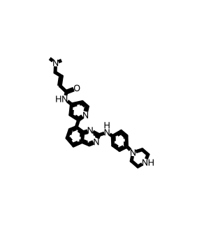 CN(C)CC=CC(=O)Nc1ccnc(-c2cccc3cnc(Nc4ccc(N5CCNCC5)cc4)nc23)c1